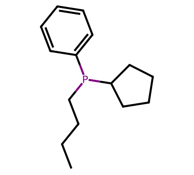 CCCCP(c1ccccc1)C1CCCC1